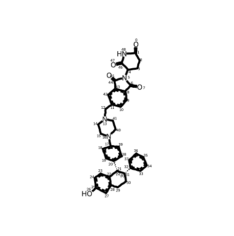 O=C1CCC(N2C(=O)c3ccc(CN4CCN(c5ccc([C@H]6c7ccc(O)cc7CC[C@H]6c6ccccc6)cc5)CC4)cc3C2=O)C(=O)N1